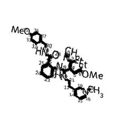 C=N/C(CC)=C(/C=C(\CC)OC)C(=N/CCC1=CC=CN(C)C1)\Nc1ccccc1C(=O)NCc1ccc(OC)cc1